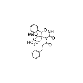 COC(=O)C1(CC(=O)O)[C@@H](c2ccccc2)ONC(=O)N1C(=O)CCc1ccccc1